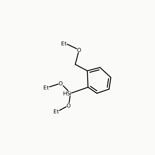 CCOCc1ccccc1[SiH](OCC)OCC